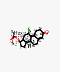 CCCCCCC(=O)O[C@]1(C(C)=O)CC[C@H]2[C@@H]3CCC4=CC(=O)CC[C@]4(C)[C@H]3C(F)C[C@@]21C